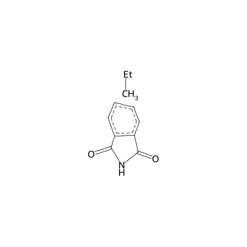 CCC.O=C1NC(=O)c2ccccc21